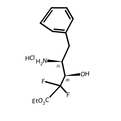 CCOC(=O)C(F)(F)[C@H](O)[C@@H](N)Cc1ccccc1.Cl